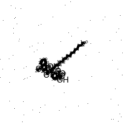 CCCCCCCCCCCCCCCCCCN(C(=O)c1cc(OC)c2ccccc2c1O)C1=CC=CC(C(=O)O)(C(=O)O)C1